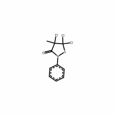 CC1(Cl)C(=O)N(c2ccccc2)SC1(Cl)Cl